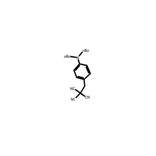 CCCCN(CCCC)c1ccc(CC(C#N)(C#N)C#N)cc1